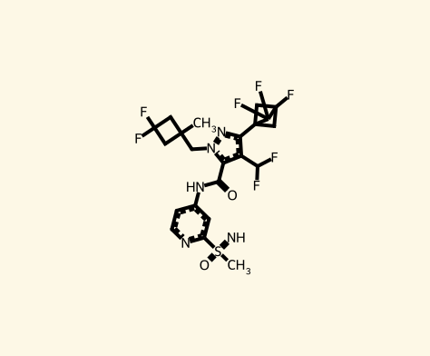 CC1(Cn2nc(C34CC(F)(C3)C4(F)F)c(C(F)F)c2C(=O)Nc2ccnc(S(C)(=N)=O)c2)CC(F)(F)C1